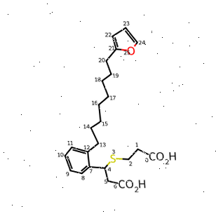 O=C(O)CCSC(CC(=O)O)c1ccccc1CCCCCCCCc1ccco1